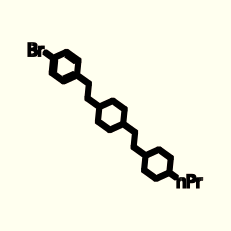 CCCC1CCC(CCC2CCC(CCc3ccc(Br)cc3)CC2)CC1